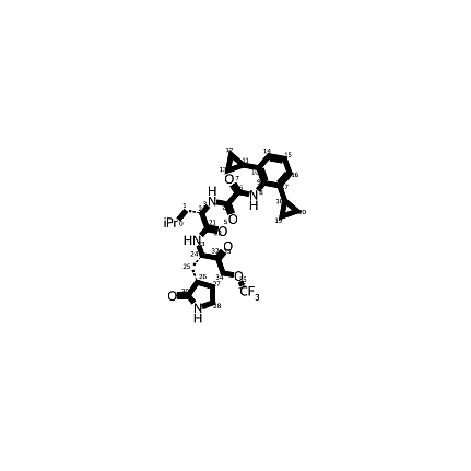 CC(C)C[C@H](NC(=O)C(=O)Nc1c(C2CC2)cccc1C1CC1)C(=O)N[C@@H](C[C@@H]1CCNC1=O)C(=O)COC(F)(F)F